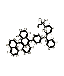 FC(F)(F)c1cccc(N(c2ccccc2)c2ccc(-c3c4ccccc4c(-c4cccc5ccccc45)c4ccccc34)cc2)n1